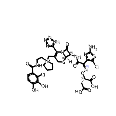 Nc1nc(/C(=N/O[C@@H](CC(=O)O)C(=O)O)C(=O)N[C@@H]2C(=O)N3C(c4nnn[nH]4)=C(C[N+]4(CCNC(=O)c5ccc(O)c(O)c5Cl)CCCC4)CS[C@H]23)c(Cl)s1